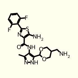 Cc1n[nH]c(C2OCC(CN)CO2)c1NC(=O)c1nc(-c2c(F)cccc2F)sc1N